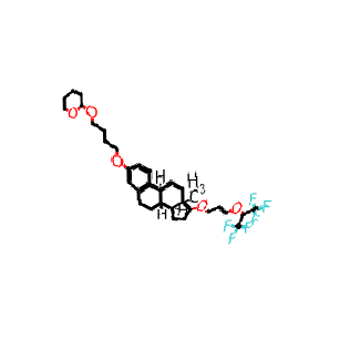 C[C@]12CC[C@@H]3c4ccc(OCCCCOC5CCCCO5)cc4CC[C@H]3[C@@H]1CC[C@@H]2OCCCOC(C(F)(F)F)C(F)(F)F